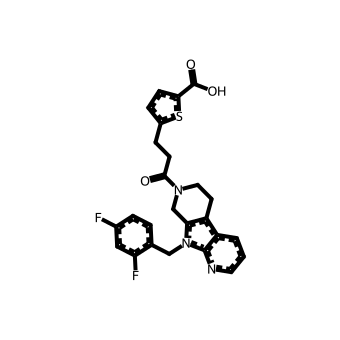 O=C(O)c1ccc(CCC(=O)N2CCc3c(n(Cc4ccc(F)cc4F)c4ncccc34)C2)s1